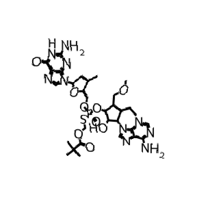 CCC1C(COC)C(OP(=O)(OCC2OC(n3cnc4c(=O)[nH]c(N)nc43)CC2C)SCOC(=O)C(C)(C)C)C(O)C1n1cnc2c(N)ncnc21